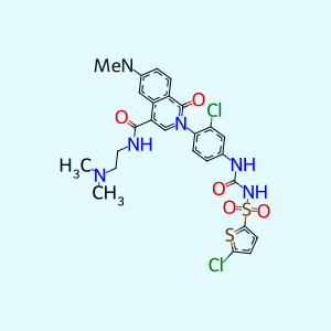 CNc1ccc2c(=O)n(-c3ccc(NC(=O)NS(=O)(=O)c4ccc(Cl)s4)cc3Cl)cc(C(=O)NCCN(C)C)c2c1